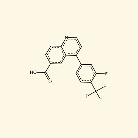 O=C(O)c1ccc2nccc(-c3ccc(C(F)(F)F)c(F)c3)c2c1